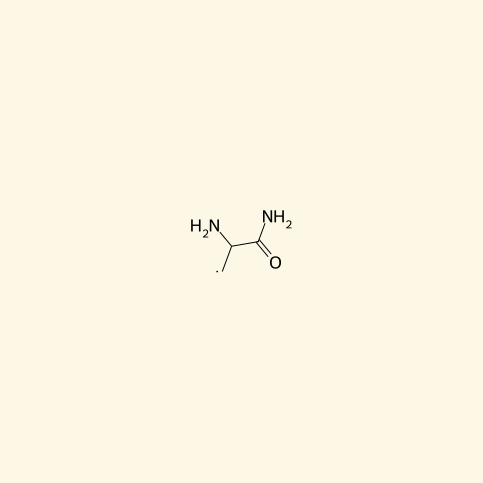 [CH2]C(N)C(N)=O